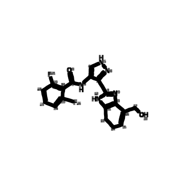 O=C(Nc1c[nH]nc1-c1nc2c([nH]1)CCC=C2CO)c1c(F)cccc1F